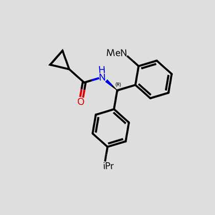 CNc1ccccc1[C@H](NC(=O)C1CC1)c1ccc(C(C)C)cc1